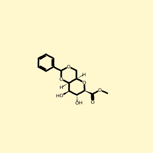 COC(=O)[C@@H]1O[C@@H]2COC(c3ccccc3)O[C@@H]2[C@H](O)[C@H]1O